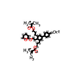 C=C(C)C(=O)OCCCc1cc(-c2ccc(CCCCCCCC)cc2)cc(CCCOC(=O)C(=C)C)c1CCOC1CCCCO1